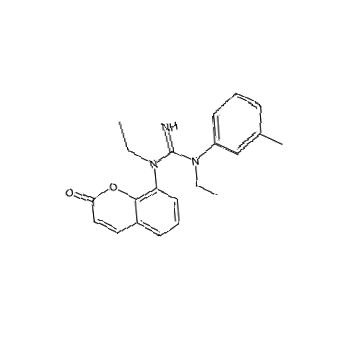 CCN(C(=N)N(CC)c1cccc2ccc(=O)oc12)c1cccc(C)c1